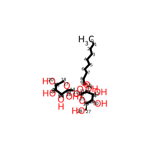 CCCCCCCCCC(=O)O[C@@]1(OC[C@]2(O)OC[C@@H](O)[C@@H](O)[C@@H]2O)O[C@H](CO)[C@@H](O)[C@H](O)[C@H]1O